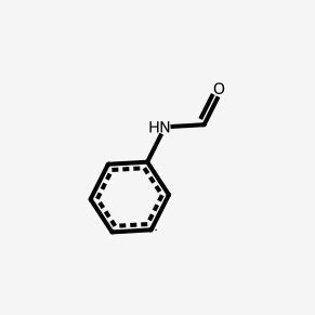 O=CNc1c[c]ccc1